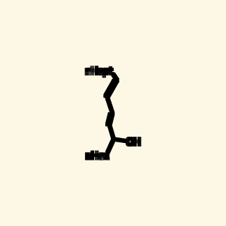 CCCCCCCC=CC=CC(O)CCCCCC